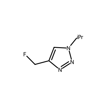 CC(C)n1cc(CF)nn1